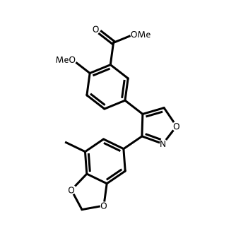 COC(=O)c1cc(-c2conc2-c2cc(C)c3c(c2)OCO3)ccc1OC